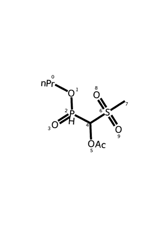 CCCO[PH](=O)C(OC(C)=O)S(C)(=O)=O